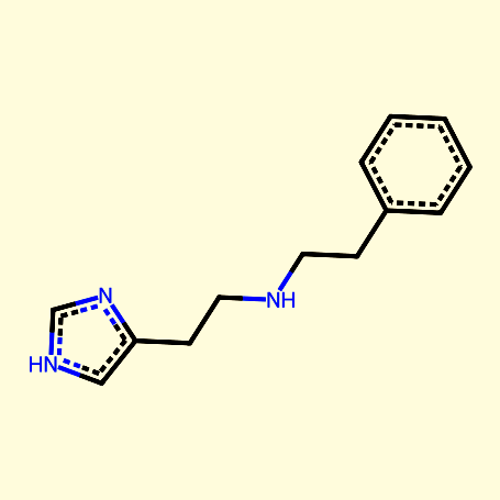 c1ccc(CCNCCc2c[nH]cn2)cc1